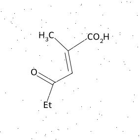 CCC(=O)C=C(C)C(=O)O